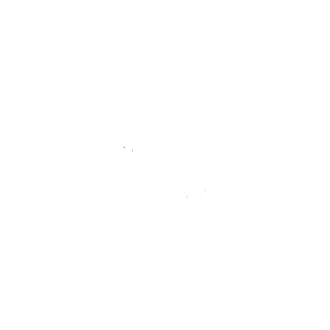 N#Cc1ccc(F)c(CS(=O)(=O)Cl)c1